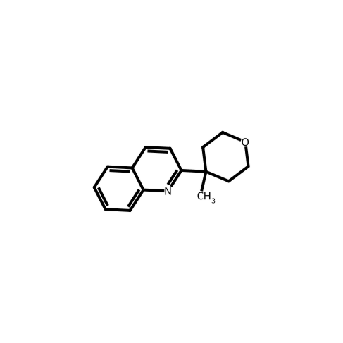 CC1(c2ccc3ccccc3n2)CCOCC1